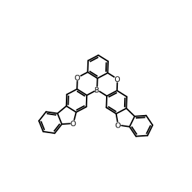 c1cc2c3c(c1)Oc1cc4c(cc1B3c1cc3oc5ccccc5c3cc1O2)oc1ccccc14